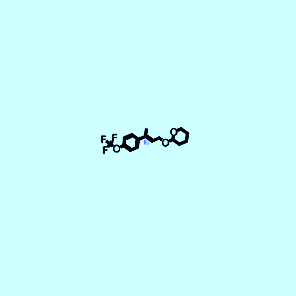 C/C(=C\COC1CCCCO1)c1ccc(OC(F)(F)F)cc1